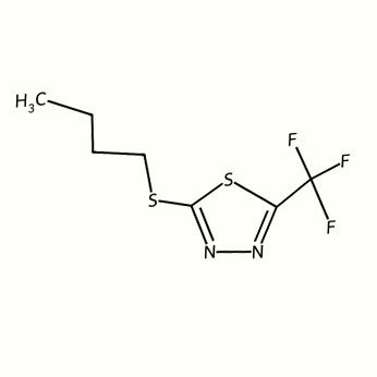 CCCCSc1nnc(C(F)(F)F)s1